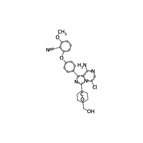 COc1cccc(Oc2ccc(-c3nc(C45CCC(CO)(CC4)OC5)n4c(Cl)cnc(N)c34)cc2)c1C#N